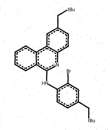 CC(C)(C)Cc1ccc(Nc2nc3ccc(CC(C)(C)C)cc3c3ccccc23)c(Br)c1